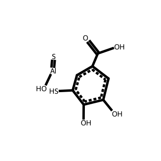 O=C(O)c1cc(O)c(O)c(S)c1.[OH][Al]=[S]